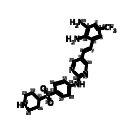 Nc1cc(C(F)(F)F)cc(C=Cc2cnc(Nc3ccc(S(=O)(=O)C4CCNCC4)cc3)nc2)c1N